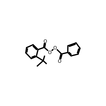 CC(C)(C)c1ccccc1C(=O)OOC(=O)c1ccccc1